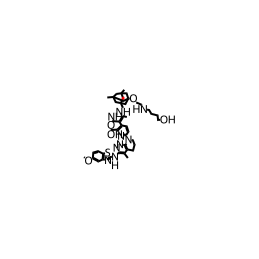 COc1ccc2sc(Nc3nnc4c(c3C)CCCN4c3ccc(/C(C=N)=C(\C)NCC45CC6(C)CC(C)(C4)CC(OCCNCCCCO)(C6)C5)c(C(=O)O)n3)nc2c1